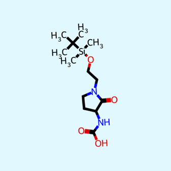 CC(C)(C)[Si](C)(C)OCCN1CCC(NC(=O)O)C1=O